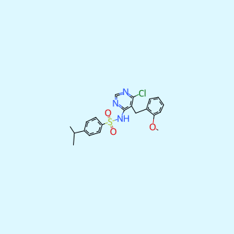 COc1ccccc1Cc1c(Cl)ncnc1NS(=O)(=O)c1ccc(C(C)C)cc1